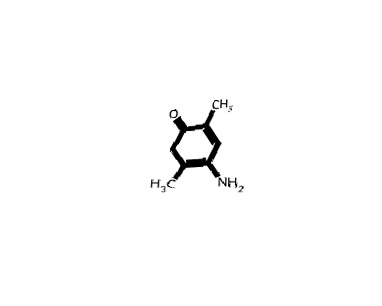 CC1=CC(N)=C(C)CC1=O